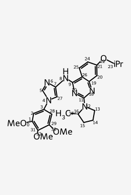 COc1cc(-n2cnc(Nc3nc(N4CCC[C@H]4C)nc4cc(OC(C)C)ccc34)c2)cc(OC)c1OC